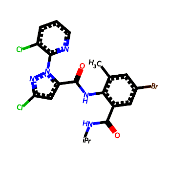 Cc1cc(Br)cc(C(=O)NC(C)C)c1NC(=O)c1cc(Cl)nn1-c1ncccc1Cl